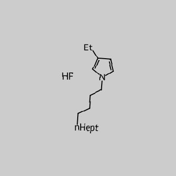 CCCCCCCCCCCn1ccc(CC)c1.F